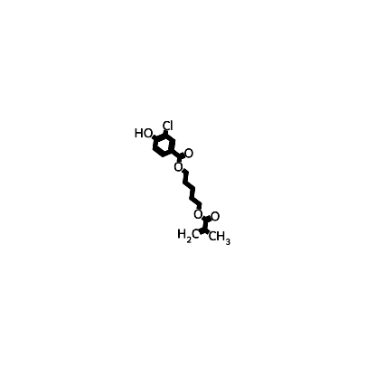 C=C(C)C(=O)OCCCCCOC(=O)c1ccc(O)c(Cl)c1